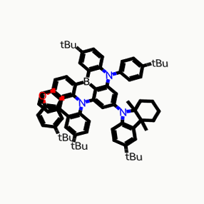 CC(C)(C)c1ccc(N2c3ccc(C(C)(C)C)cc3B3c4ccc5oc6ccc(C(C)(C)C)cc6c5c4N(c4ccc(C(C)(C)C)cc4-c4ccccc4)c4cc(N5c6ccc(C(C)(C)C)cc6C6(C)CCCCC56C)cc2c43)cc1